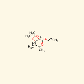 C=CCOC1O[C@@H](C)[C@H](C)[C@H]2OC(C)(C)O[C@@H]12